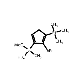 CCCC1=[C]([Pt]([CH3])([CH3])[CH3])CC=C1[Si](C)(C)OC